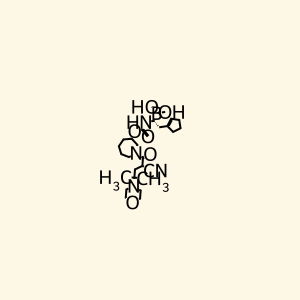 CC(C)(CC(C#N)C(=O)N1CCCC[C@@H](OC(=O)N[C@@H](CC2=CCCC2)B(O)O)C1)N1CCOCC1